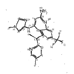 C[C@H](c1ncc(F)cn1)c1cc(C(F)(F)F)nc2nc(N)nc(Nc3cn(C)cn3)c12